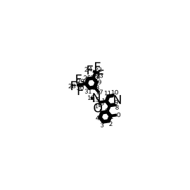 Cc1ccccc1-c1cnccc1C(=O)N(C)Cc1cc(C(F)(F)F)cc(C(F)(F)F)c1